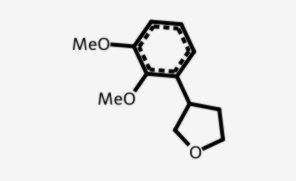 COc1cccc(C2CCOC2)c1OC